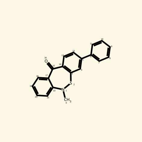 CN1Sc2cc(-c3ccccc3)ccc2C(=O)c2ccccc21